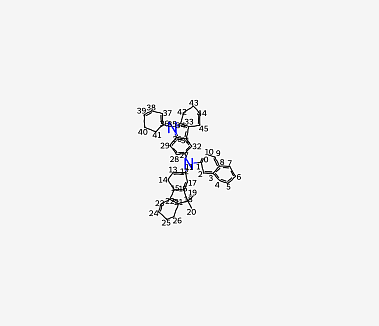 C=C(/C=c1/cccc/c1=C/C)N(C1=CCC2C(=C1)C(C)(C)C1=C2C=CCC1)c1ccc2c(c1)c1c(n2C2=CC=CCC2)CCC=C1